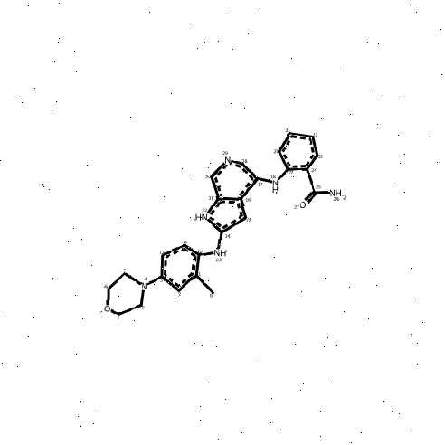 Cc1cc(N2CCOCC2)ccc1Nc1cc2c(Nc3ccccc3C(N)=O)cncc2[nH]1